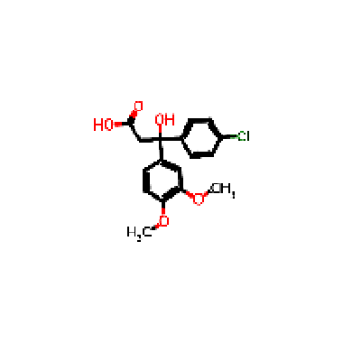 COc1ccc(C(O)(CC(=O)O)c2ccc(Cl)cc2)cc1OC